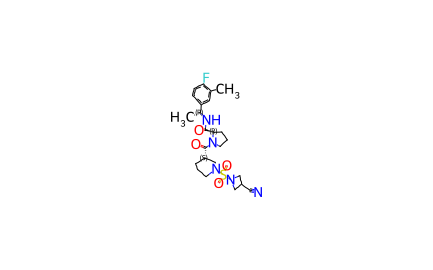 Cc1cc([C@@H](C)NC(=O)[C@H]2CCCN2C(=O)[C@H]2CCCN(S(=O)(=O)N3CC(C#N)C3)C2)ccc1F